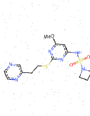 COc1cc(NS(=O)(=O)N2CCC2)nc(SCCc2cnccn2)n1